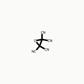 N#CC1(C#N)OC1(C#N)C#N